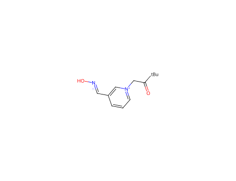 CC(C)(C)C(=O)C[n+]1cccc(/C=N/O)c1